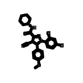 COc1ccc(C2C(C#N)C(C(=O)NN3CCCCC3)=NN2c2ccc(Cl)cc2Cl)cc1